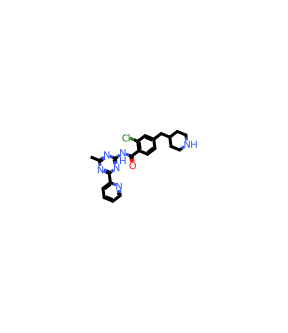 Cc1nc(NC(=O)c2ccc(CC3CCNCC3)cc2Cl)nc(-c2ccccn2)n1